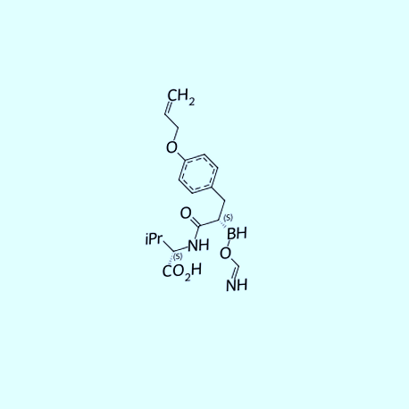 C=CCOc1ccc(C[C@H](BOC=N)C(=O)N[C@H](C(=O)O)C(C)C)cc1